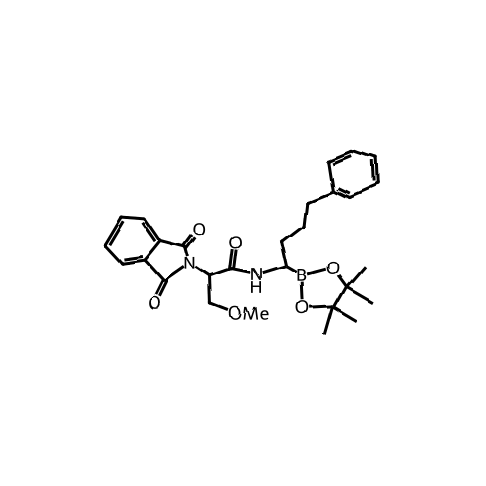 COCC(C(=O)NC(CCCc1ccccc1)B1OC(C)(C)C(C)(C)O1)N1C(=O)c2ccccc2C1=O